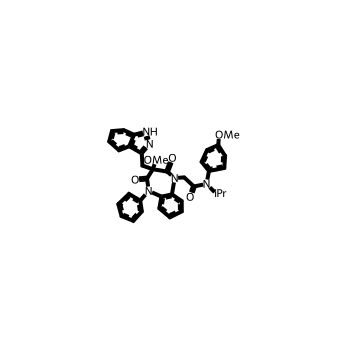 COc1ccc(N(C(=O)CN2C(=O)C(Cc3n[nH]c4ccccc34)(OC)C(=O)N(c3ccccc3)c3ccccc32)C(C)C)cc1